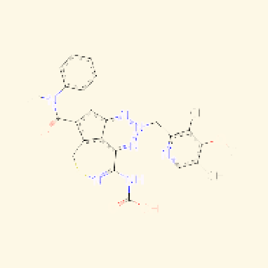 COc1c(C)cnc(Cn2nc3cc(C(=O)N(C)c4ccccc4)c4c-3c(n2)C(NC(=O)O)=NSC4)c1C